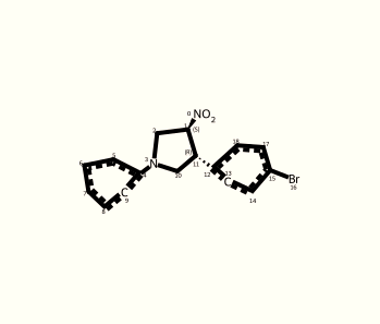 O=[N+]([O-])[C@@H]1CN(c2ccccc2)C[C@H]1c1ccc(Br)cc1